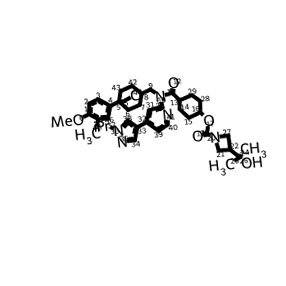 COc1ccc(C23CCC(CN(C(=O)C4CCC(OC(=O)N5CC(C(C)(C)O)C5)CC4)c4cc(-c5cnn(C(C)C)c5)ccn4)(CC2)CC3)cc1C